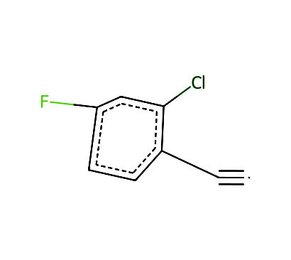 [C]#Cc1ccc(F)cc1Cl